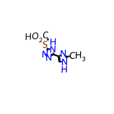 Cc1nc(-c2nnc(SCC(=O)O)[nH]2)c[nH]1